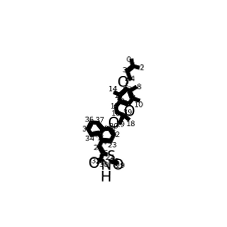 CC(C)=CCOc1c(C)c(C)c2c(c1C)CCC(C)(COc1ccc(/C=C3\SC(=O)NC3=O)c3ccccc13)O2